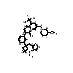 C[C@H]1CCCN(Cc2cc(C(F)(F)F)c3ncc(-c4cccc(C5(Cc6nncn6C)CC(F)(F)C5)c4)c(=O)n3c2)C1